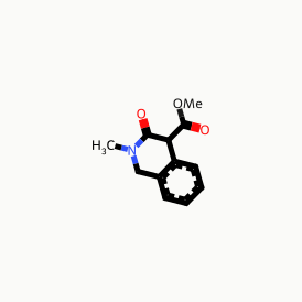 COC(=O)C1C(=O)N(C)Cc2ccccc21